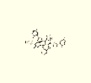 Cc1ccc(C)c(-c2ccc(-c3c(Oc4ccccc4)c(Oc4ccc(C(=O)O)c(C)c4)c(-c4ccc(-c5cc(C)ccc5C)s4)c4nsnc34)s2)c1